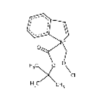 CC(C)(C)OC(=O)[N+]1(COCl)C=Cc2ccccc21